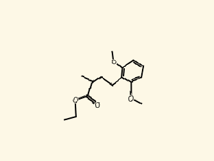 CCOC(=O)C(C)CCc1c(OC)cccc1OC